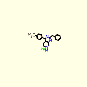 Cc1ccc(-c2nc(Cc3ccccc3)nc3c2CCNC3)cc1.Cl